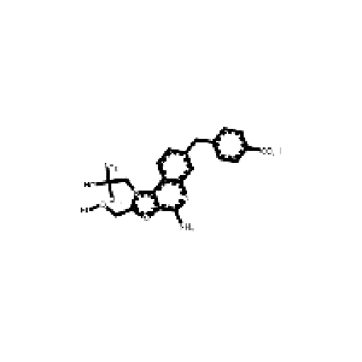 CCOCc1nc2c(N)nc3cc(Cc4ccc(C(=O)O)cc4)ccc3c2n1CC(C)(C)O